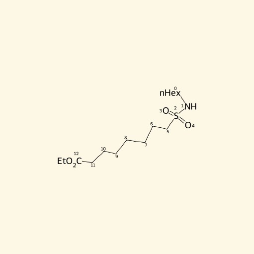 CCCCCCNS(=O)(=O)CCCCCCCC(=O)OCC